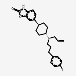 C=CCN(CCCc1ccc(F)cc1)[C@H]1CC[C@H](c2ccc3[nH]c(=O)oc3c2)CC1